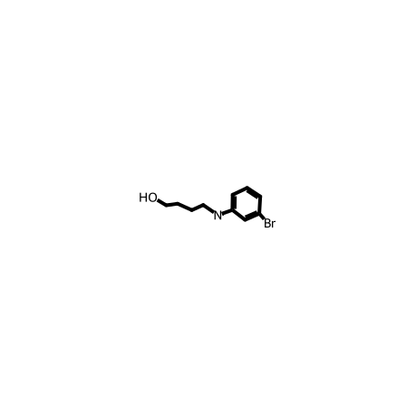 OCCCC[N]c1cccc(Br)c1